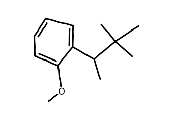 COc1ccccc1C(C)C(C)(C)C